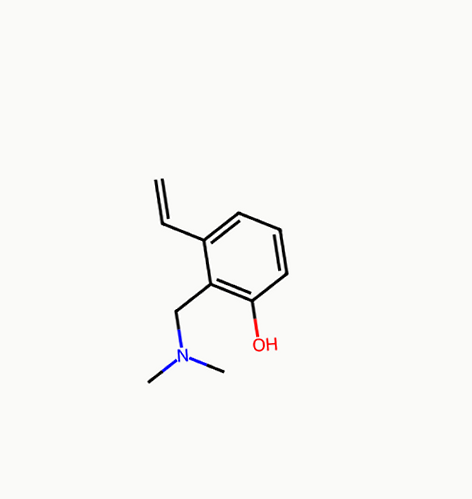 C=Cc1cccc(O)c1CN(C)C